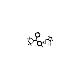 Cc1ccc(C(=C2CC(C)(C)CC(C)(C)C2)c2ccccc2)cc1OCc1ncn[nH]1